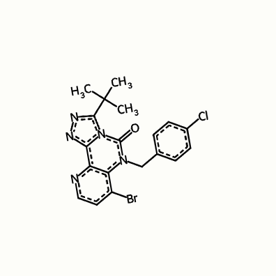 CC(C)(C)c1nnc2c3nccc(Br)c3n(Cc3ccc(Cl)cc3)c(=O)n12